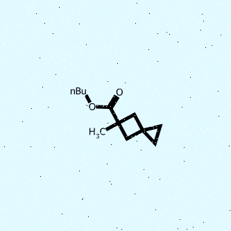 CCCCOC(=O)C1(C)CC2(CC2)C1